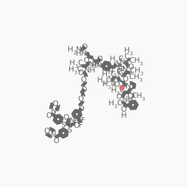 CCC(C)[C@@H]([C@@H](CC(=O)N1CCC[C@H]1[C@H](OC)[C@@H](C)C(=O)N[C@H](C)[C@@H](O)c1ccccc1)OC)N(C)C(=O)[C@@H](NC(=O)[C@H](C(C)C)N(C)C(=O)OCc1ccc(NC(=O)[C@H](CCCNC(N)=O)NC(=O)[C@@H](NC(=O)COCCOCCOCCOc2ccc(N3C(=O)C(Sc4ccc(C(=O)N5CCOCC5)cc4)=C(Sc4ccc(C(=O)N5CCOCC5)cc4)C3=O)c(C(F)(F)F)c2)C(C)C)cc1)C(C)C